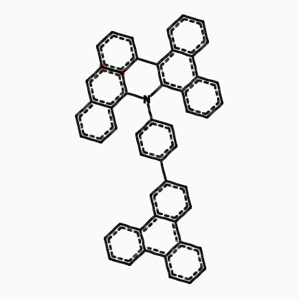 c1ccc(-c2c(N(c3ccc(-c4ccc5c6ccccc6c6ccccc6c5c4)cc3)c3cccc4ccccc34)c3ccccc3c3ccccc23)cc1